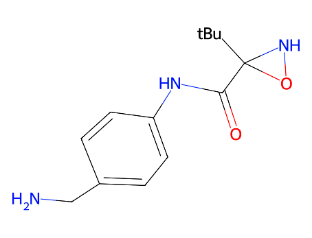 CC(C)(C)C1(C(=O)Nc2ccc(CN)cc2)NO1